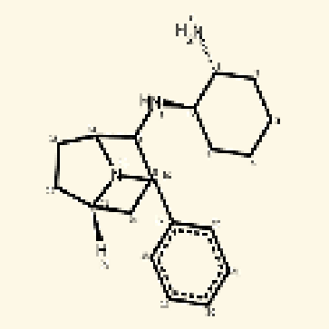 N[C@@H]1CCCC[C@H]1NC1CC[C@@H]2CCC1N2Cc1ccccc1